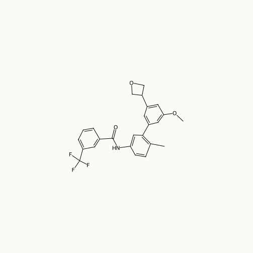 COc1cc(-c2cc(NC(=O)c3cccc(C(F)(F)F)c3)ccc2C)cc(C2COC2)c1